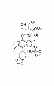 COC1COC(Oc2c3c(c(-c4ccc5c(c4)OCO5)c4cc(OP(=O)(O)O)c(CO)cc24)C(=O)OC3)C(CO)C1CO